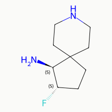 N[C@@H]1[C@@H](F)CCC12CCNCC2